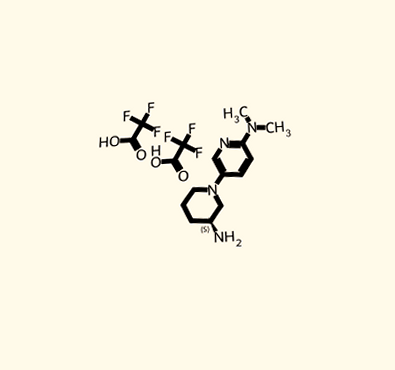 CN(C)c1ccc(N2CCC[C@H](N)C2)cn1.O=C(O)C(F)(F)F.O=C(O)C(F)(F)F